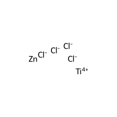 [Cl-].[Cl-].[Cl-].[Cl-].[Ti+4].[Zn]